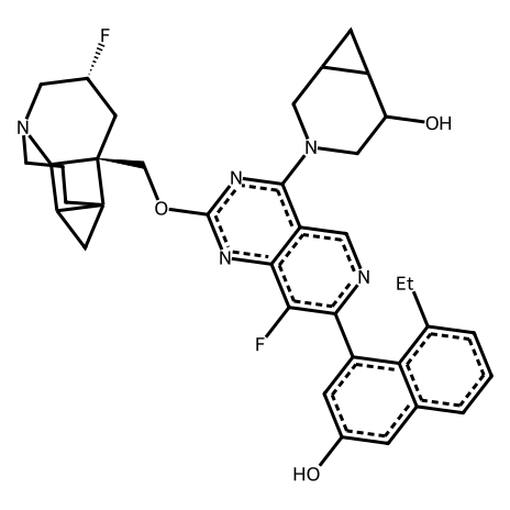 CCc1cccc2cc(O)cc(-c3ncc4c(N5CC(O)C6CC6C5)nc(OC[C@@]56C[C@@H](F)CN7CCCC58CC8C76)nc4c3F)c12